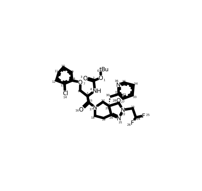 CC(C)(C)OC(=O)NC(COc1ccccc1Cl)C(=O)N1CCC2=NN(CC(F)F)C(=O)[C@]2(Cc2ccccn2)C1